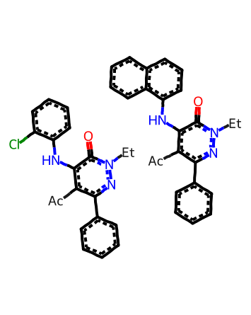 CCn1nc(-c2ccccc2)c(C(C)=O)c(Nc2cccc3ccccc23)c1=O.CCn1nc(-c2ccccc2)c(C(C)=O)c(Nc2ccccc2Cl)c1=O